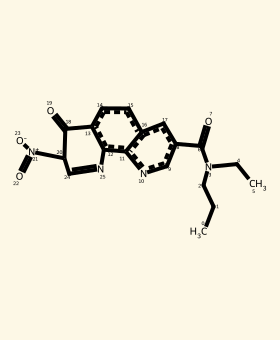 CCCN(CC)C(=O)c1cnc2c3c(ccc2c1)C(=O)C([N+](=O)[O-])C=N3